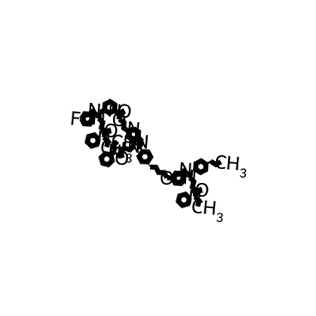 CCC[C@H]1CC[C@H](c2nc3cc(OCCCC[C@H]4CC[C@H](c5nc6cnc(CCOC(=O)N7CCCC(c8nc9cc(F)ccc9n8CCC(=O)N(CC)C8CCCCC8)C7)cc6n5CCC(=O)N(CC)C5CCCCC5)CC4)ccc3n2CCC(=O)N(CC)C2CCCCC2)CC1